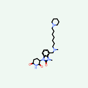 CN(CCCCCCCN1CCCCC1)Cc1cccc2c1n(C)c(=O)n2C1CCC(=O)NC1=O